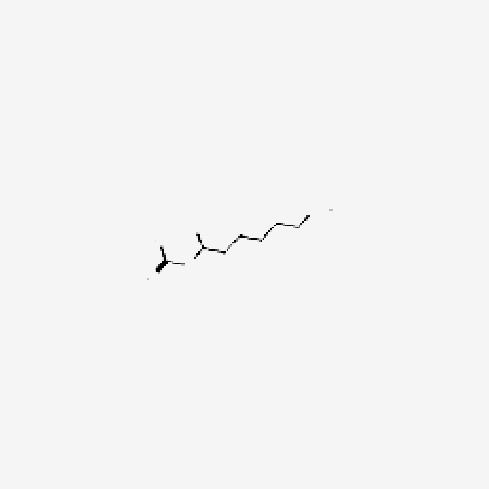 CCCCCCCCCCCC(Cl)OC(=O)Cl